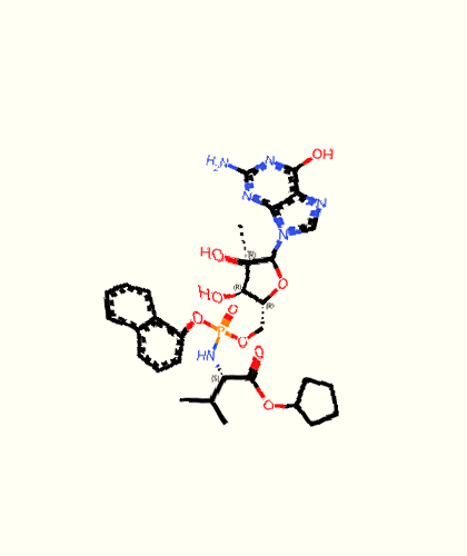 CC(C)[C@H](NP(=O)(OC[C@H]1OC(n2cnc3c(O)nc(N)nc32)[C@](C)(O)[C@@H]1O)Oc1cccc2ccccc12)C(=O)OC1CCCC1